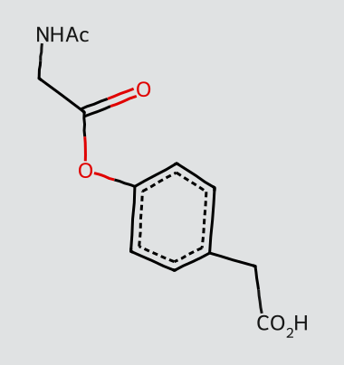 CC(=O)NCC(=O)Oc1ccc(CC(=O)O)cc1